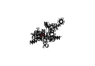 CC(=O)OCC1OC(OC2C(OC3OC(C(C)NCc4ccccc4)CCC3N=[N+]=[N-])C(C)CC(N=[N+]=[N-])C2OC(C)=O)C(OC(C)=O)C1OC1OC(CN=[N+]=[N-])C(OC(C)=O)C(OC(C)=O)C1N=[N+]=[N-]